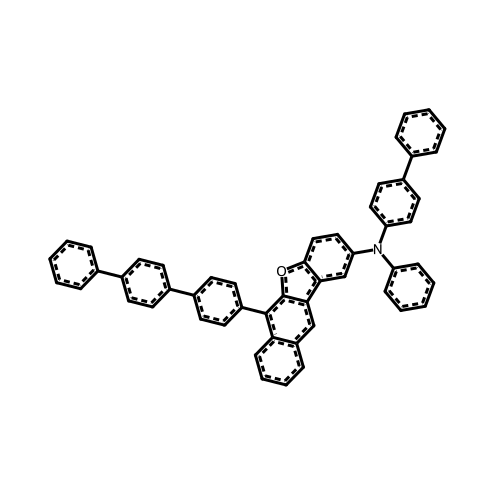 c1ccc(-c2ccc(-c3ccc(-c4c5ccccc5cc5c4oc4ccc(N(c6ccccc6)c6ccc(-c7ccccc7)cc6)cc45)cc3)cc2)cc1